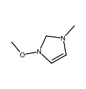 CON1C=CN(C)C1